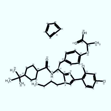 CCCCn1cc(-c2ccc(Cl)cc2Cl)nc1[C@H](Cc1ccc(OC(C)C(=O)O)cc1)NC(=O)C1CCC(C(C)(C)C)CC1.c1ccccc1